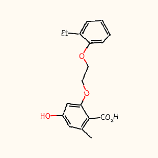 CCc1ccccc1OCCOc1cc(O)cc(C)c1C(=O)O